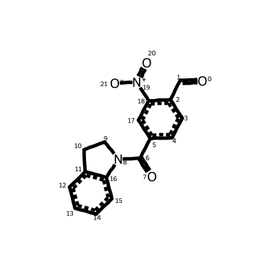 O=Cc1ccc(C(=O)N2CCc3ccccc32)cc1[N+](=O)[O-]